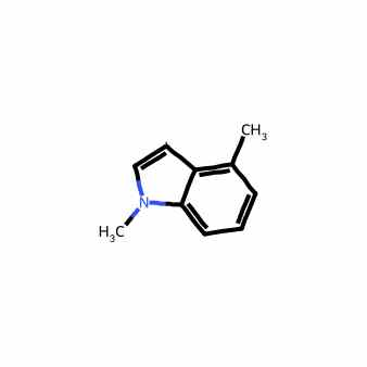 Cc1cccc2c1[c]cn2C